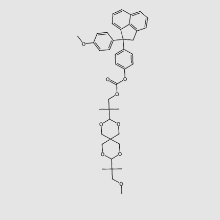 COCC(C)(C)C1OCC2(CO1)COC(C(C)(C)COC(=O)Oc1ccc(C3(c4ccc(OC)cc4)Cc4cccc5cccc3c45)cc1)OC2